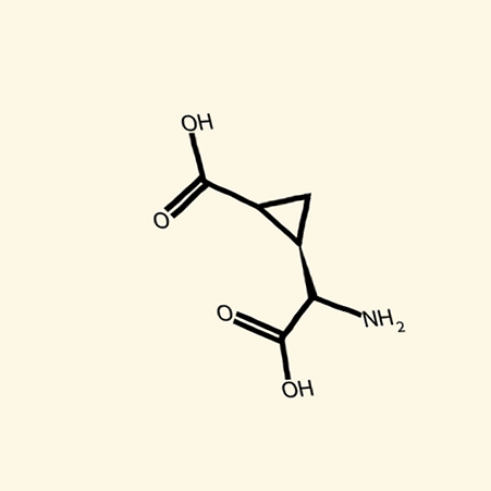 NC(C(=O)O)[C@@H]1CC1C(=O)O